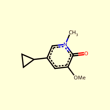 COc1cc(C2CC2)cn(C)c1=O